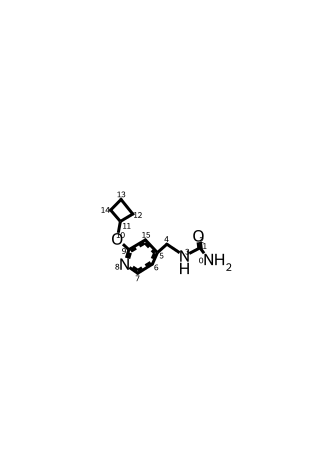 NC(=O)NCc1ccnc(OC2CCC2)c1